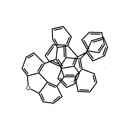 c1ccc(-c2c3ccccc3c(-c3cccc4oc5cccc(-c6c7ccccc7c(-c7ccccc7)c7ccccc67)c5c34)c3ccccc23)cc1